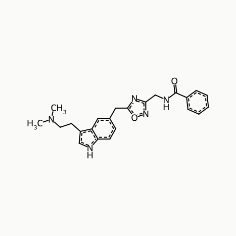 CN(C)CCc1c[nH]c2ccc(Cc3nc(CNC(=O)c4ccccc4)no3)cc12